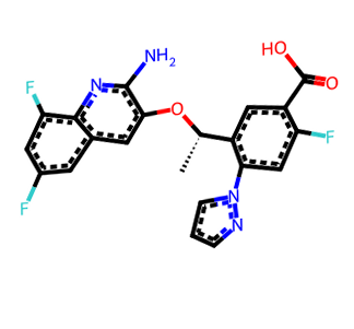 C[C@H](Oc1cc2cc(F)cc(F)c2nc1N)c1cc(C(=O)O)c(F)cc1-n1cccn1